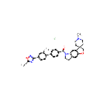 Cc1nc(-c2ccc(-c3ccc(C(=O)N4CCc5cc6c(cc54)C4(CCN(C)CC4)CO6)cc3)c(C)c2)no1.Cl